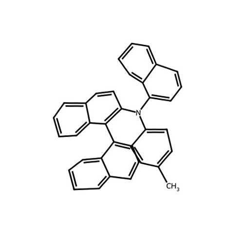 Cc1ccc(N(c2ccc3ccccc3c2-c2cccc3ccccc23)c2cccc3ccccc23)cc1